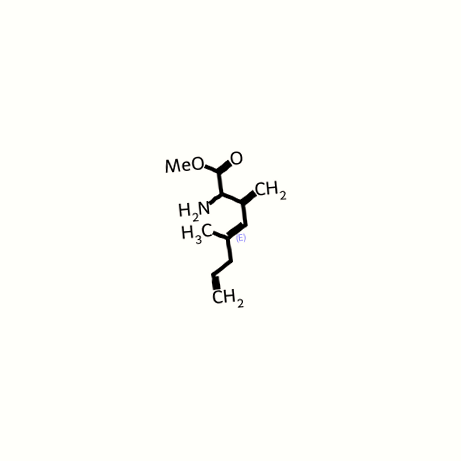 C=CC/C(C)=C/C(=C)C(N)C(=O)OC